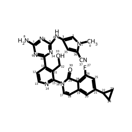 Cn1cc(Nc2nc(N)nc(-c3ccnc(-n4ccc5cc(C6CC6)cc(F)c5c4=O)c3CO)n2)cc1C#N